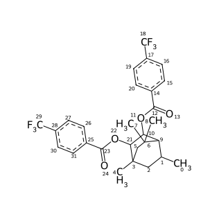 CC1CC2(C)CC(C)(C)C1C(OC(=O)c1ccc(C(F)(F)F)cc1)C2OC(=O)c1ccc(C(F)(F)F)cc1